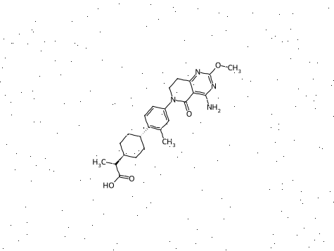 COc1nc(N)c2c(n1)CCN(c1ccc([C@H]3CC[C@H](C(C)C(=O)O)CC3)c(C)c1)C2=O